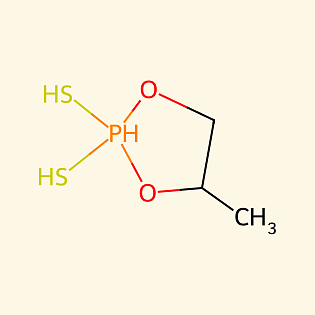 CC1CO[PH](S)(S)O1